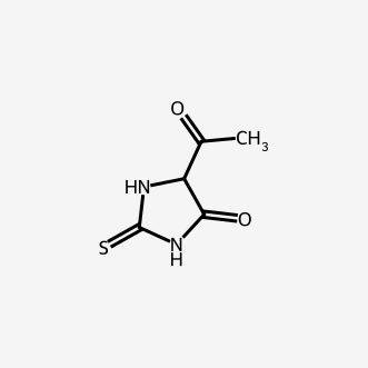 CC(=O)C1NC(=S)NC1=O